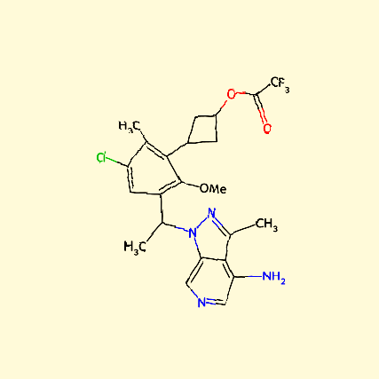 COc1c(C(C)n2nc(C)c3c(N)cncc32)cc(Cl)c(C)c1C1CC(OC(=O)C(F)(F)F)C1